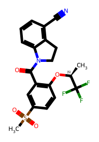 C[C@H](Oc1ccc(S(C)(=O)=O)cc1C(=O)N1CCc2c(C#N)cccc21)C(F)(F)F